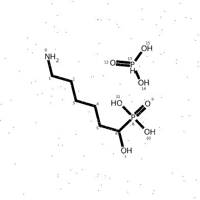 NCCCCCC(O)P(=O)(O)O.O=[PH](O)O